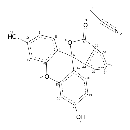 CC#N.O=C1OC2(c3ccc(O)cc3Oc3cc(O)ccc32)c2ccccc21